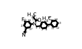 CCC(=O)N(Cc1ccc(-c2ccccc2C)cc1)c1cc(F)cc(C#N)c1